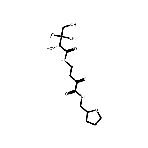 CC(C)(CO)[C@@H](O)C(=O)NCCC(=O)C(=O)NCC1CCCO1